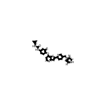 O=C(Nc1ccc(Oc2ccnc3cc(-c4ccc(CN5C[C@@H]6C[C@H]5CN6)cn4)sc23)c(F)c1)NC1CC1